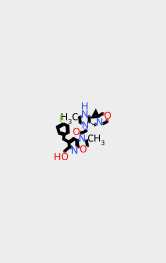 C[C@@H]1CN(CC(=O)N2c3cc(Cc4ccc(F)cc4)c(CO)nc3OC[C@@H]2C)[C@@H](CN2CCOCC23CC3)CN1